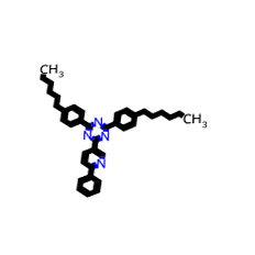 CCCCCCc1ccc(-c2nc(-c3ccc(CCCCCC)cc3)nc(-c3ccc(-c4ccccc4)nc3)n2)cc1